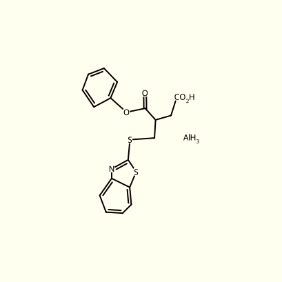 O=C(O)CC(CSc1nc2ccccc2s1)C(=O)Oc1ccccc1.[AlH3]